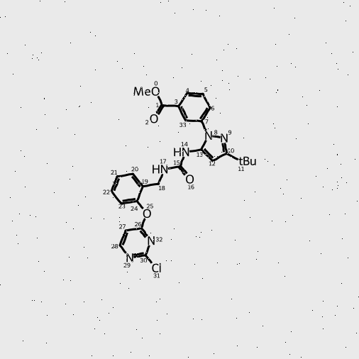 COC(=O)c1cccc(-n2nc(C(C)(C)C)cc2NC(=O)NCc2ccccc2Oc2ccnc(Cl)n2)c1